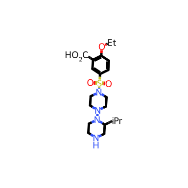 CCOc1ccc(S(=O)(=O)N2CCN(N3CCNCC3C(C)C)CC2)cc1C(=O)O